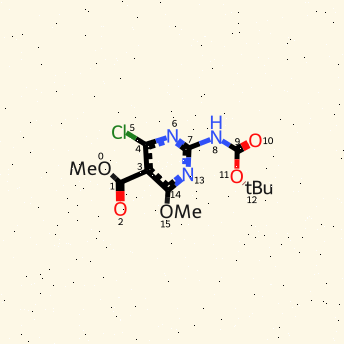 COC(=O)c1c(Cl)nc(NC(=O)OC(C)(C)C)nc1OC